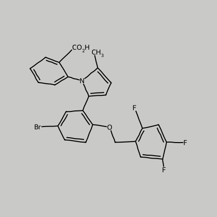 Cc1ccc(-c2cc(Br)ccc2OCc2cc(F)c(F)cc2F)n1-c1ccccc1C(=O)O